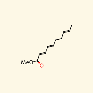 C/C=C/CC/C=C/C=C/C(=O)OC